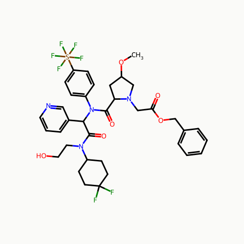 COC1CC(C(=O)N(c2ccc(S(F)(F)(F)(F)F)cc2)C(C(=O)N(CCO)C2CCC(F)(F)CC2)c2cccnc2)N(CC(=O)OCc2ccccc2)C1